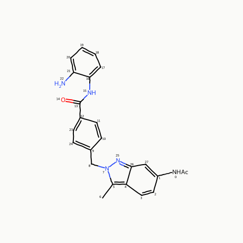 CC(=O)Nc1ccc2c(C)n(Cc3ccc(C(=O)Nc4ccccc4N)cc3)nc2c1